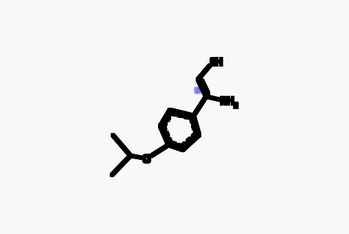 CC(C)Oc1ccc(/C(N)=C/S)cc1